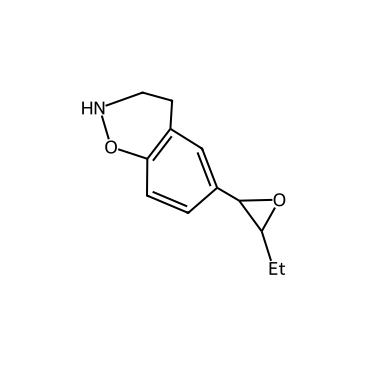 [CH2]CC1OC1c1ccc2c(c1)CCNO2